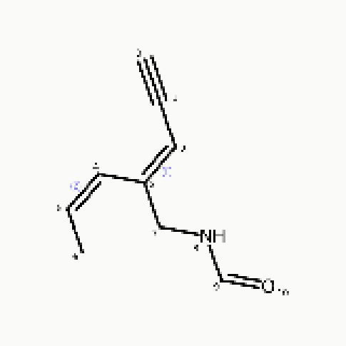 C#C/C=C(\C=C/C)CNC=O